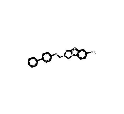 Nc1ccc2c(c1)nc1n2C[C@@H](COc2ccc(-c3ccccc3)nc2)O1